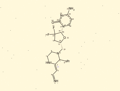 CCCC1/C(=C/C=N)NCCN1C[C@@H]1CC(F)(F)[C@H](n2ccc(N)nc2=O)O1